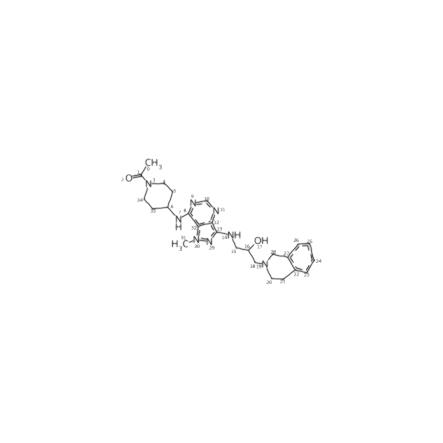 CC(=O)N1CCC(Nc2ncnc3c(NCC(O)CN4CCc5ccccc5C4)nn(C)c23)CC1